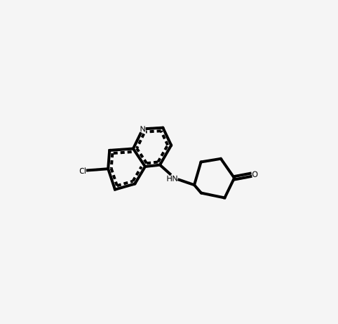 O=C1CCC(Nc2ccnc3cc(Cl)ccc23)CC1